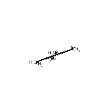 CC(C)CCCCCCCCCCCCCC(CCC(CCCCCCCCCCCCCC(C)C)C(N)=O)C(N)=O